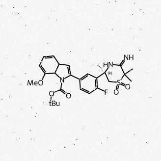 COC1=CC=CC2C=C(c3ccc(F)c([C@]4(C)CS(=O)(=O)C(C)(C)C(=N)N4)c3)N(C(=O)OC(C)(C)C)C12